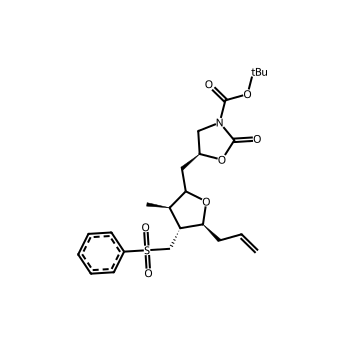 C=CC[C@@H]1OC(C[C@H]2CN(C(=O)OC(C)(C)C)C(=O)O2)[C@H](C)[C@H]1CS(=O)(=O)c1ccccc1